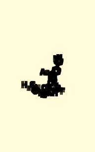 CC(=O)c1nn(CC(=O)N2C[C@H](F)C[C@H]2C(=O)NC2CCN(c3ccn(C)n3)C2=O)c2ccc(-c3ccnnc3)cc12